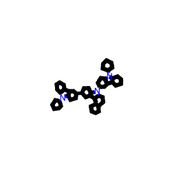 c1ccc(-n2c3ccccc3c3cc(-c4ccc5c(c4)c4c6ccccc6ccc4n5-c4ccc5c(c4)c4ccccc4n5-c4ccccc4)ccc32)cc1